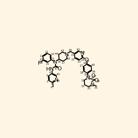 Cc1ccc(NC(=O)N(c2cccc(F)c2)C2CCN(Cc3ccc(Oc4ccc(N5CCCN(C)S5(=O)=O)cc4)nc3)CC2)cn1